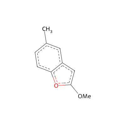 COc1cc2cc(C)ccc2o1